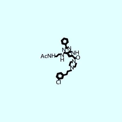 CC(=O)NCCNc1nc(-c2ccccc2)nc2[nH]c(C(=O)N3CCN(CCCc4cccc(Cl)c4)CC3)cc12